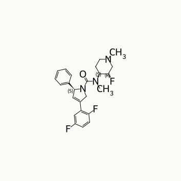 CN1CC[C@H](N(C)C(=O)N2CC(c3cc(F)ccc3F)=C[C@H]2c2ccccc2)[C@H](F)C1